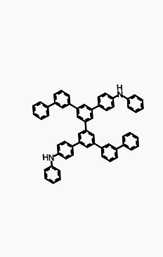 c1ccc(Nc2ccc(-c3cc(-c4cccc(-c5ccccc5)c4)cc(-c4cc(-c5ccc(Nc6ccccc6)cc5)cc(-c5cccc(-c6ccccc6)c5)c4)c3)cc2)cc1